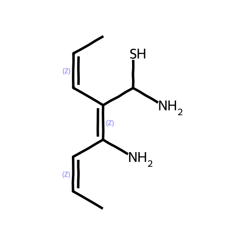 C\C=C/C(N)=C(\C=C/C)C(N)S